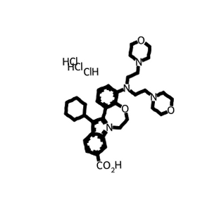 Cl.Cl.Cl.O=C(O)c1ccc2c(C3CCCCC3)c3n(c2c1)CCOc1c-3cccc1N(CCN1CCOCC1)CCN1CCOCC1